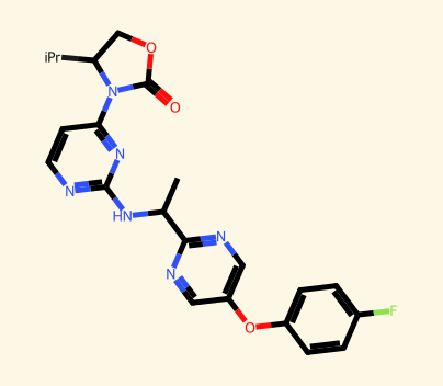 CC(Nc1nccc(N2C(=O)OCC2C(C)C)n1)c1ncc(Oc2ccc(F)cc2)cn1